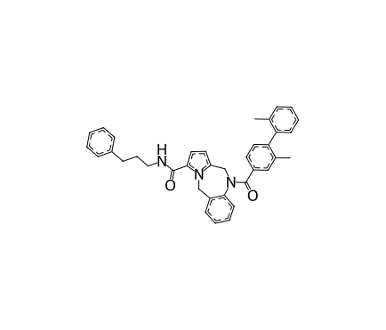 Cc1ccccc1-c1ccc(C(=O)N2Cc3ccc(C(=O)NCCCc4ccccc4)n3Cc3ccccc32)cc1C